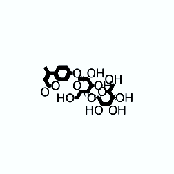 Cc1cc(=O)oc2cc(O[C@@H]3OC(CO)[C@@H](O[C@@H]4OC(CO)[C@H](O)C(O)C4O)C(O)C3O)ccc12